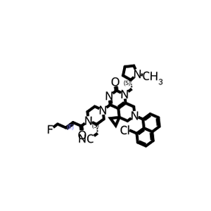 CN1CCC[C@H]1Cn1c2c(c(N3CCN(C(=O)/C=C/CF)[C@@H](CC#N)C3)nc1=O)C1(CC1)CN(c1cccc3cccc(Cl)c13)C2